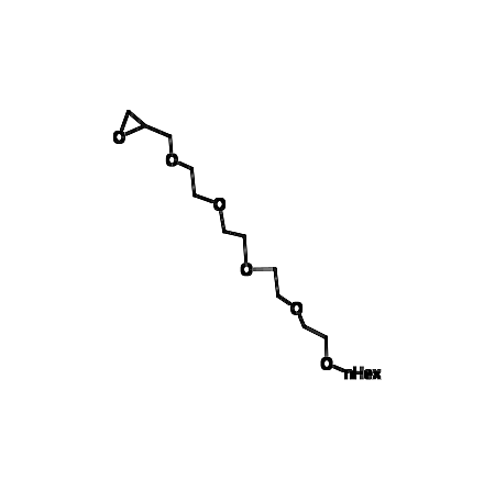 CCCCCCOCCOCCOCCOCCOCC1CO1